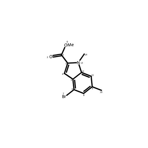 COC(=O)c1cc2c(Br)cc(C)cc2n1C